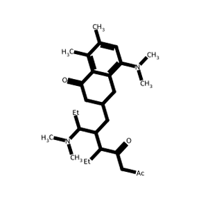 CCC(C(=O)CC(C)=O)C(CC1CC(=O)c2c(C)c(C)cc(N(C)C)c2C1)C(CC)N(C)C